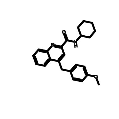 COc1ccc(Cc2cc(C(=O)NC3CCCCC3)nc3ccccc23)cc1